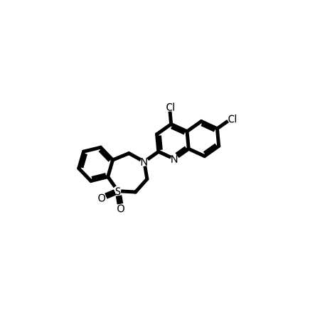 O=S1(=O)CCN(c2cc(Cl)c3cc(Cl)ccc3n2)Cc2ccccc21